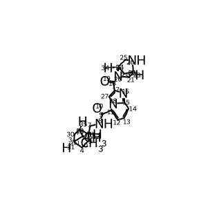 CC1(C)[C@H]2CC[C@@H](CNC(=O)c3cccc4nc(C(=O)N5C[C@@H]6C[C@H]5CN6)cn34)[C@H]1C2